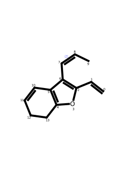 C=Cc1oc2c(c1/C=C\C)C=CCC2